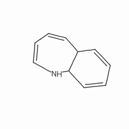 C1=CNC2C=CC=CC2C=C1